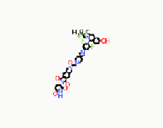 C[C@@H]1Cc2cc(O)ccc2[C@@H](c2c(F)cc(N3CC4(CCN(CC(=O)N5Cc6cc7c(cc6C5)C(=O)N(C5CCC(=O)NC5=O)C7=O)CC4)C3)cc2F)N1CC(C)(F)F